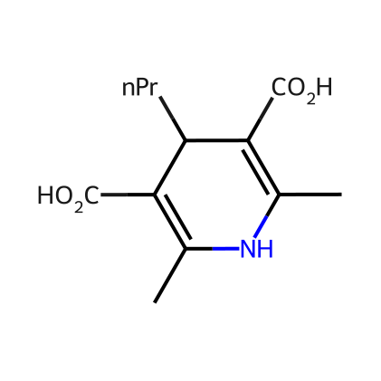 CCCC1C(C(=O)O)=C(C)NC(C)=C1C(=O)O